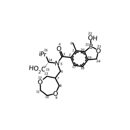 Cc1c(C(=O)N(CC2COCCOC2)[C@H](C(=O)O)C(C)C)ccc2c1B(O)OC2